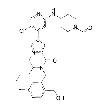 CCCC1Cn2cc(-c3cc(NC4CCN(C(C)=O)CC4)ncc3Cl)cc2C(=O)N1Cc1cc(F)ccc1CO